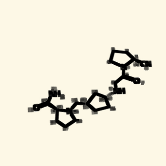 N#C[C@@H]1CCCN1C(=O)CN[C@@H]1CC[C@@H](CN2CCC[C@H]2C(N)=O)C1